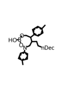 CCCCCCCCCCCCC1CN(c2ccc(C)cc2)OB(O)OCC1c1ccc(C)cc1